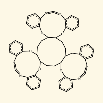 C1=Nc2ccccc2CC2CCC3Oc4ccccc4N=C=Nc4ccccc4OC3CCC3Oc4ccccc4N=C=Nc4ccccc4OC3CCC2Oc2ccccc2N=1